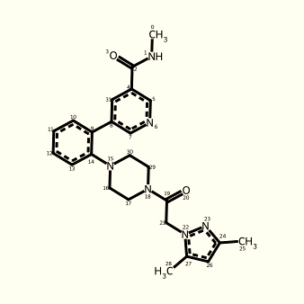 CNC(=O)c1cncc(-c2ccccc2N2CCN(C(=O)Cn3nc(C)cc3C)CC2)c1